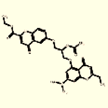 CCOC(=O)c1cc(=O)c2cc(OCC(COc3cc(N(C)C)cc4oc(CC)cc(=O)c34)OC(C)=O)ccc2o1